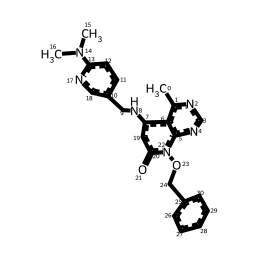 Cc1ncnc2c1c(NCc1ccc(N(C)C)nc1)cc(=O)n2OCc1ccccc1